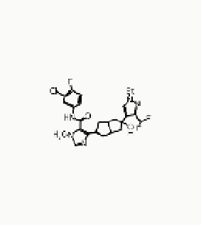 CCn1cc(C2(O)CC3CC(c4ncn(C)c4C(=O)Nc4ccc(F)c(Cl)c4)CC3C2)c(C(F)F)n1